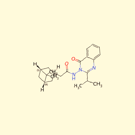 CC(C)c1nc2ccccc2c(=O)n1NC(=O)C[C@H]1C[C@@H]2C[C@H](C1)C2(C)C